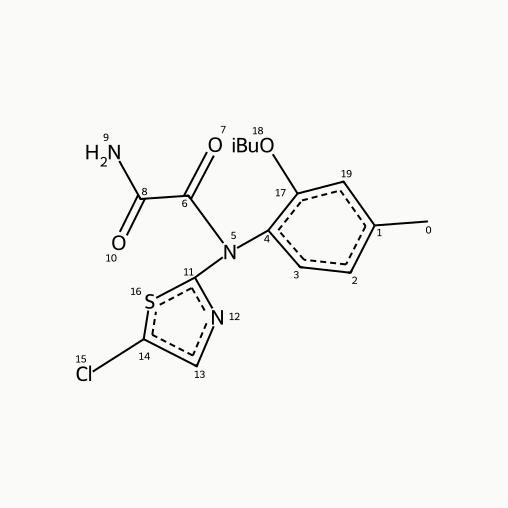 Cc1ccc(N(C(=O)C(N)=O)c2ncc(Cl)s2)c(OCC(C)C)c1